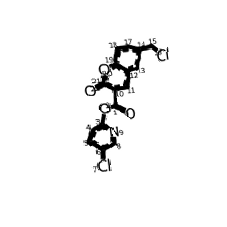 O=C(Oc1ccc(Cl)cn1)c1cc2cc(CCl)ccc2oc1=O